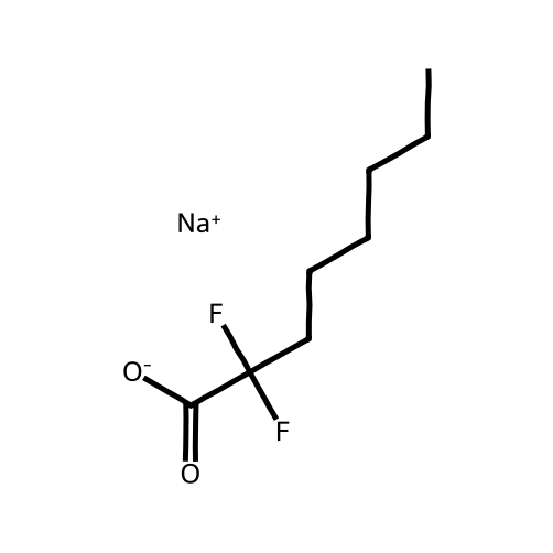 CCCCCCC(F)(F)C(=O)[O-].[Na+]